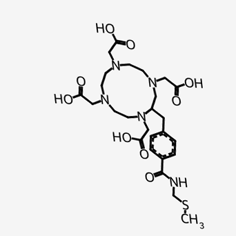 CSCNC(=O)c1ccc(CC2CN(CC(=O)O)CCN(CC(=O)O)CCN(CC(=O)O)CCN2CC(=O)O)cc1